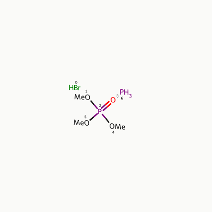 Br.COP(=O)(OC)OC.P